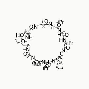 CC[C@H](C)[C@@H]1NC(=O)[C@H](CC(C)C)N(C)C(=O)[C@H](Cc2ccccc2)CN(C)C(=O)[C@@H](C(C)C)NC(=O)[C@H](C)NC(=O)[C@@H](CC(C)C)N(C)C(=O)[C@H](C)CN(C)C(=O)C[C@H]([C@@H](C)O)NC(=O)[C@H](Cc2ccccc2)N(C)C(=O)[C@H](C)N(C)C1=O